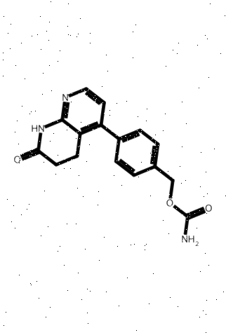 NC(=O)OCc1ccc(-c2ccnc3c2CCC(=O)N3)cc1